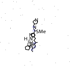 C\C=C(/C=C\C=C(/C)CCc1cc(/C(=C/N=C/C2CCN(C)CC2)SC)cnc1N)NC1(O)CCCCC1